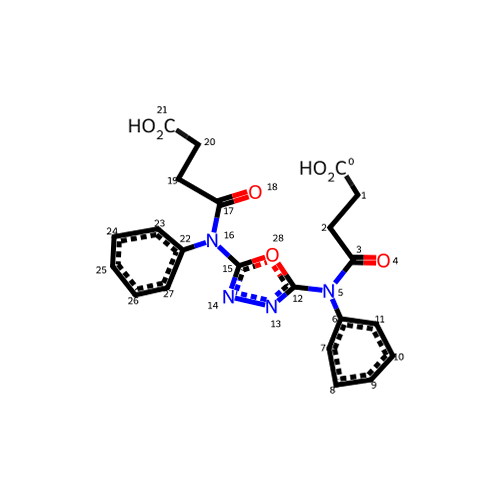 O=C(O)CCC(=O)N(c1ccccc1)c1nnc(N(C(=O)CCC(=O)O)c2ccccc2)o1